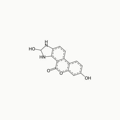 O=c1oc2cc(O)ccc2c2ccc3c(c12)NC(O)N3